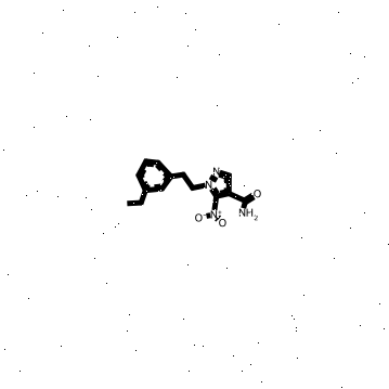 CCc1cccc(CCn2ncc(C(N)=O)c2[N+](=O)[O-])c1